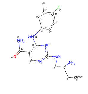 COCC(N)CNc1ncc(C(N)=O)c(Nc2ccc(Cl)c(C)c2)n1